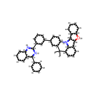 CC1(C)c2cc(-c3cccc(-c4nc(-c5ccccc5)c5ccccc5n4)c3)ccc2-n2c3c1cccc3c1oc3ccccc3c12